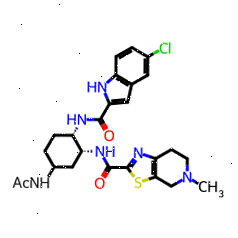 CC(=O)NC1CC[C@H](NC(=O)c2cc3cc(Cl)ccc3[nH]2)[C@H](NC(=O)c2nc3c(s2)CN(C)CC3)C1